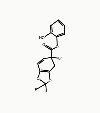 O=C(Oc1ccccc1O)C1(Br)C=CC2=C(C1)OC(F)(F)O2